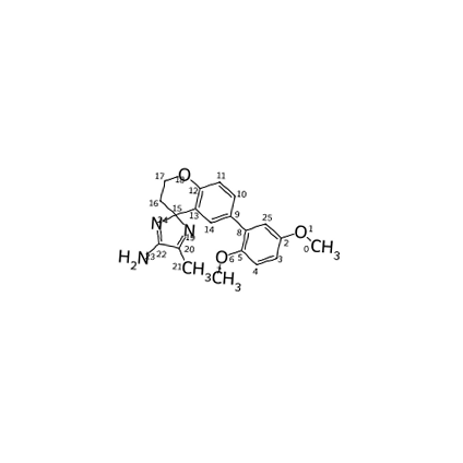 COc1ccc(OC)c(-c2ccc3c(c2)C2(CCO3)N=C(C)C(N)=N2)c1